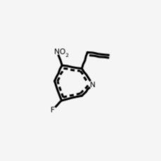 C=Cc1ncc(F)cc1[N+](=O)[O-]